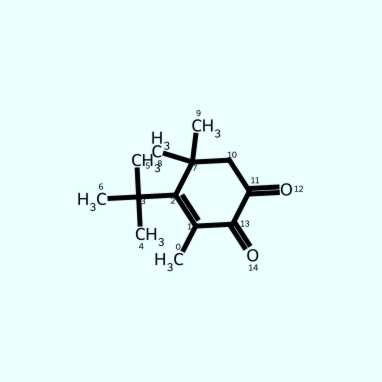 CC1=C(C(C)(C)C)C(C)(C)CC(=O)C1=O